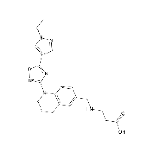 CCn1cc(-c2nc(N3CCCc4cc(CNCCC(=O)O)ccc43)no2)cn1